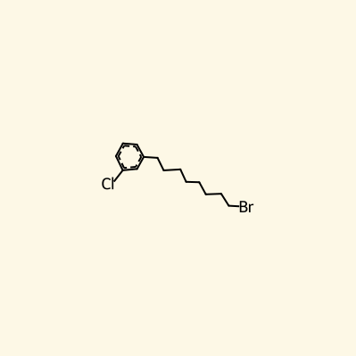 Clc1cccc(CCCCCCCCBr)c1